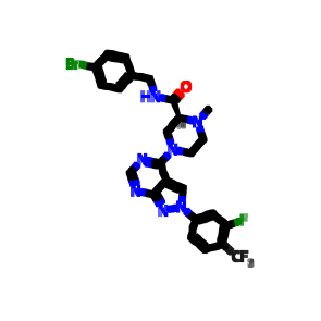 CN1CCN(c2ncnc3nn(-c4ccc(C(F)(F)F)c(F)c4)cc23)C[C@H]1C(=O)NCc1ccc(Br)cc1